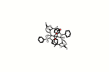 CN1C(=O)CC2(C34CC(=O)N(C)[C@]5(C)SC(=S)SCN(C5=O)[C@H]3N(S(=O)(=O)c3ccccc3)c3ccccc34)c3ccccc3N(c3ccccc3)[C@@H]2N2CSC(=S)S[C@]1(C)C2=O